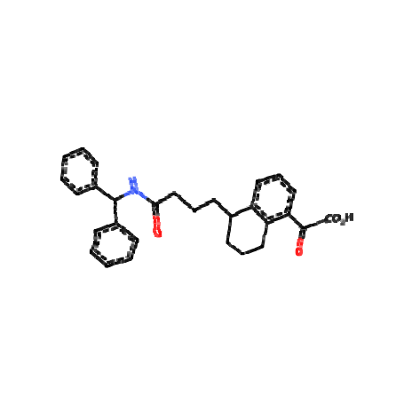 O=C(CCCC1CCCc2c(C(=O)C(=O)O)cccc21)NC(c1ccccc1)c1ccccc1